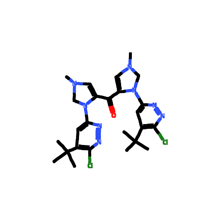 CN1C=C(C(=O)C2=CN(C)CN2c2cc(C(C)(C)C)c(Cl)nn2)N(c2cc(C(C)(C)C)c(Cl)nn2)C1